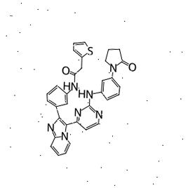 O=C(Cc1cccs1)Nc1cccc(-c2nc3ccccn3c2-c2ccnc(Nc3cccc(N4CCCC4=O)c3)n2)c1